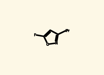 CC(C)c1cc(F)on1